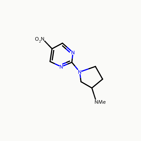 CNC1CCN(c2ncc([N+](=O)[O-])cn2)C1